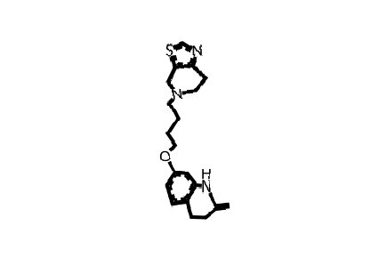 C=C1CCc2ccc(OCCCCN3CCc4ncsc4C3)cc2N1